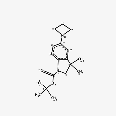 CC(C)(C)OC(=O)N1CC(C)(C)c2nc(N3CCC3)ccc21